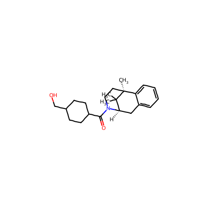 CC1(C)[C@H]2Cc3ccccc3[C@]1(C)CCN2C(=O)C1CCC(CO)CC1